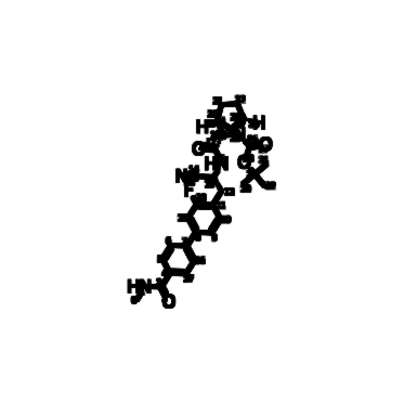 CNC(=O)c1ccc(-c2ccc(C[C@@H](C#N)NC(=O)[C@@H]3[C@H]4CC[C@H](C4)N3C(=O)OC(C)(C)C)c(F)c2)cc1